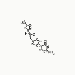 CC(C)(C)c1cc(NC(=O)Cc2ccc(-c3ccc(N)nc3Cl)cc2)no1